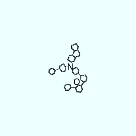 c1ccc(-c2ccc(N(c3ccc(-c4cccc5c4oc4c(-c6ccccc6)cccc45)cc3)c3ccc4c(ccc5ccccc54)c3)cc2)cc1